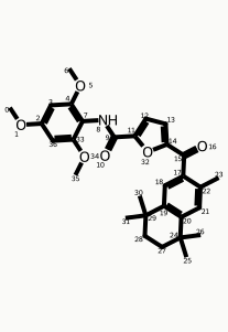 COc1cc(OC)c(NC(=O)c2ccc(C(=O)c3cc4c(cc3C)C(C)(C)CCC4(C)C)o2)c(OC)c1